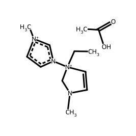 CC(=O)O.CC[N+]1(n2cc[n+](C)c2)C=CN(C)C1